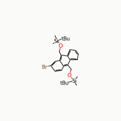 CC(C)(C)[Si](C)(C)OCc1c2ccccc2c(CO[Si](C)(C)C(C)(C)C)c2cc(Br)ccc12